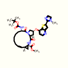 COC(=O)[C@@]12C[C@H]1/C=C\CCCCC[C@H](NC(=O)OC(C)(C)C)C(=O)N1C[C@H](Oc3ccnc4cc(-c5nccn5C)sc34)C[C@H]1C(=O)N2